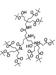 CN(C(=O)CCC(N)(CCC(=O)NCC(CCC(=O)OC(C)(C)C)(CCC(=O)OC(C)(C)C)CCC(O)OC(C)(C)C)CCC(O)NC(CCC(=O)OC(C)(C)C)(CCC(=O)OC(C)(C)C)CCC(=O)OC(C)(C)C)C(CCC(=O)OC(C)(C)C)(CCC(=O)OC(C)(C)C)CCC(=O)OC(C)(C)C